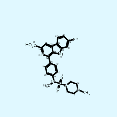 CN1CCN(S(=O)(=O)N(C)c2ccc(-c3nc(C(=O)O)cc4c3[nH]c3cc(F)ccc34)cc2)CC1